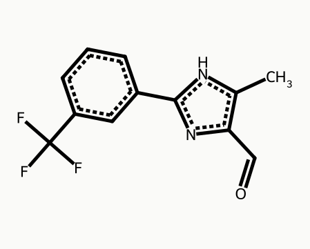 Cc1[nH]c(-c2cccc(C(F)(F)F)c2)nc1C=O